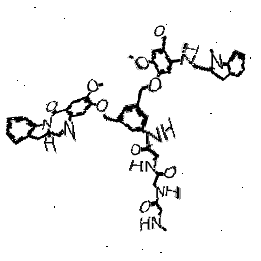 CNCC(=O)NCC(=O)NCC(=O)Nc1cc(COc2cc3c(cc2OC)C(=O)N2c4ccccc4C[C@H]2C=N3)cc(COc2cc(NCC3Cc4ccccc4N3C)c(C=O)cc2OC)c1